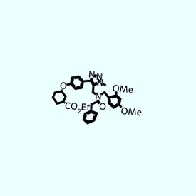 CCOC(=O)[C@H]1CCC[C@H](Oc2ccc(-c3nnn(C)c3CN(Cc3ccc(OC)cc3OC)C(=O)Cc3ccccc3)cc2)C1